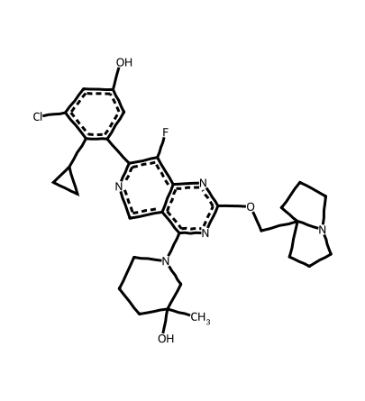 CC1(O)CCCN(c2nc(OCC34CCCN3CCC4)nc3c(F)c(-c4cc(O)cc(Cl)c4C4CC4)ncc23)C1